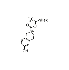 CCCCCCC(OC(=O)[C@@H]1CCc2cc(O)ccc2C1)C(F)(F)F